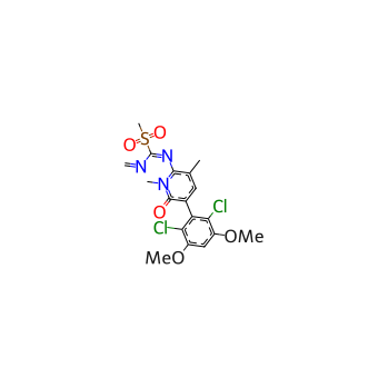 C=N/C(=N\c1c(C)cc(-c2c(Cl)c(OC)cc(OC)c2Cl)c(=O)n1C)S(C)(=O)=O